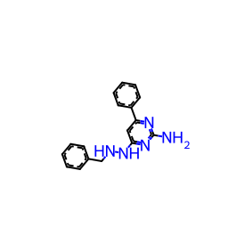 Nc1nc(NNCc2ccccc2)cc(-c2ccccc2)n1